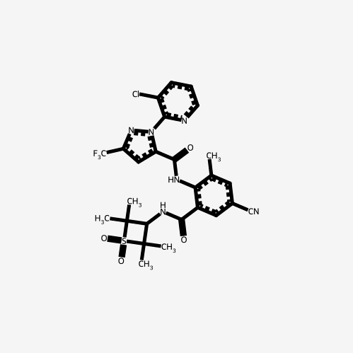 Cc1cc(C#N)cc(C(=O)NC2C(C)(C)S(=O)(=O)C2(C)C)c1NC(=O)c1cc(C(F)(F)F)nn1-c1ncccc1Cl